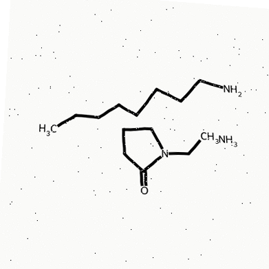 CCCCCCCCN.CCN1CCCC1=O.N